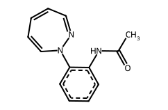 CC(=O)Nc1ccccc1N1C=CC=CC=N1